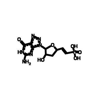 Nc1nc2c(nnn2C2OC(C=CP(=O)(O)O)CC2O)c(=O)[nH]1